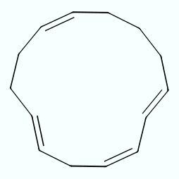 C1=C\C/C=C/CC/C=C\CCC/C=C/1